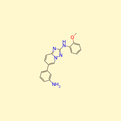 COc1ccccc1Nc1nc2ccc(-c3cccc(N)c3)cn2n1